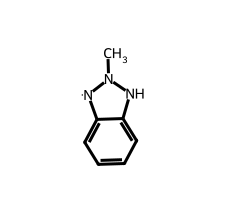 CN1[N]c2ccccc2N1